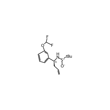 C=CC[C@H](N[S+]([O-])C(C)(C)C)c1cccc(OC(F)F)c1